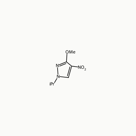 COc1nn(C(C)C)cc1[N+](=O)[O-]